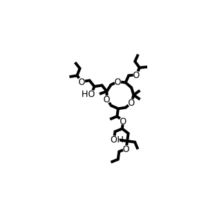 CCCOC(C)(CC)CC(CO)OC(C)C1COC(C)(C)CC(COC(C)CC)OCC(C)(CC(O)COC(C)CC)OC1